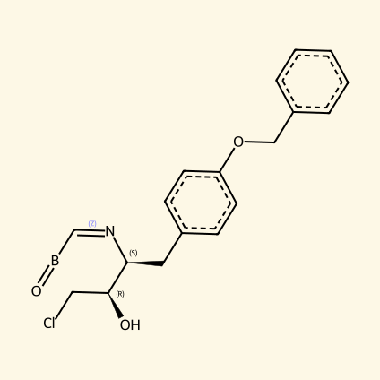 O=B/C=N\[C@@H](Cc1ccc(OCc2ccccc2)cc1)[C@@H](O)CCl